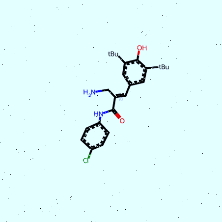 CC(C)(C)c1cc(/C=C(\CN)C(=O)Nc2ccc(Cl)cc2)cc(C(C)(C)C)c1O